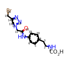 O=C(O)NCCc1ccc(NC(=O)Cn2cc(CBr)nn2)cc1